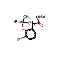 COC(=O)Cc1cccc(Br)c1O[Si](C)(C)C(C)(C)C